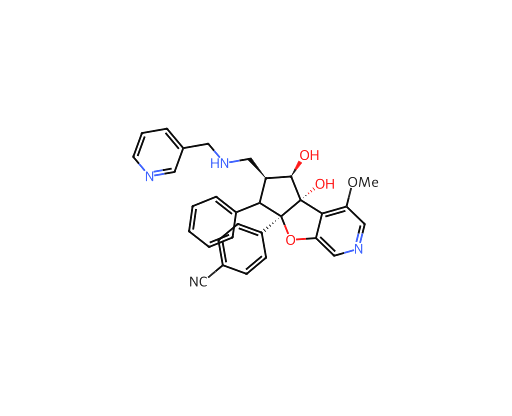 COc1cncc2c1[C@]1(O)[C@H](O)[C@H](CNCc3cccnc3)C(c3ccccc3)[C@]1(c1ccc(C#N)cc1)O2